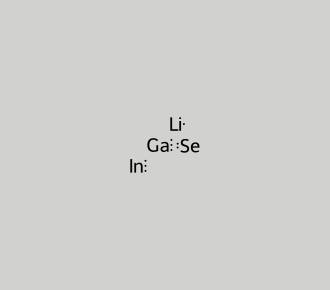 [Ga].[In].[Li].[Se]